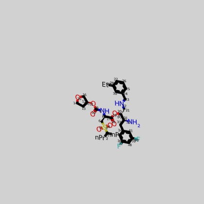 CCCC(CCC)S(=O)(=O)C[C@@H](NC(=O)O[C@H]1CCOC1)C(=O)O[C@H](CNCc1cccc(CC)c1)[C@@H](N)Cc1cc(F)cc(F)c1